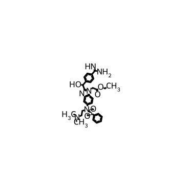 CCOC(=O)Cn1c(C(O)c2ccc(C(=N)N)cc2)nc2cc(N(CCN(C)C)S(=O)(=O)c3ccccc3)ccc21